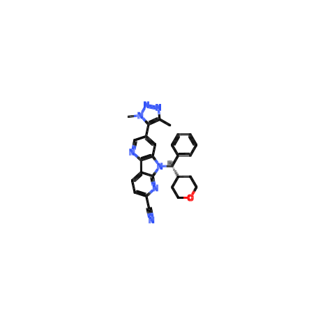 Cc1nnn(C)c1-c1cnc2c3ccc(C#N)nc3n([C@H](c3ccccc3)C3CCOCC3)c2c1